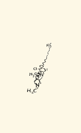 CCCCCCCCCCCCOc1ccc(CN(Cc2ccc[n+](CC)c2)S(C)(=O)=O)cc1Cl.[I-]